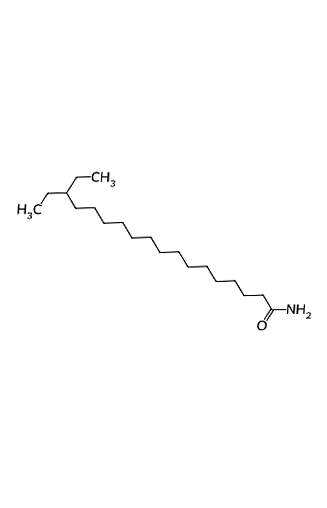 CCC(CC)CCCCCCCCCCCCCCC(N)=O